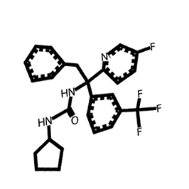 O=C(NC1CCCC1)NC(Cc1ccccc1)(c1cccc(C(F)(F)F)c1)c1ccc(F)cn1